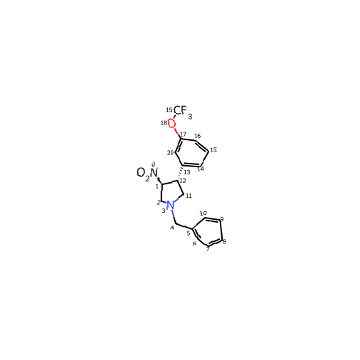 O=[N+]([O-])[C@@H]1CN(Cc2ccccc2)C[C@H]1c1cccc(OC(F)(F)F)c1